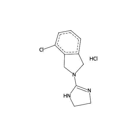 Cl.Clc1cccc2c1CN(C1=NCCN1)C2